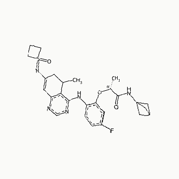 CC1CC(N=S2(=O)CCC2)=Cc2ncnc(Nc3ccc(F)cc3O[C@H](C)C(=O)NC34CC(C3)C4)c21